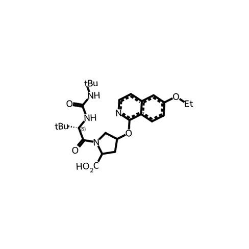 CCOc1ccc2c(OC3CC(C(=O)O)N(C(=O)[C@@H](NC(=O)NC(C)(C)C)C(C)(C)C)C3)nccc2c1